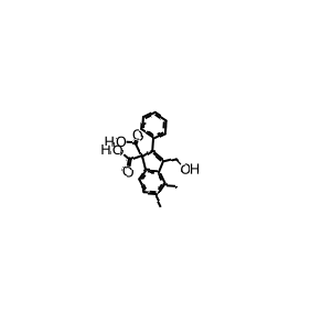 Cc1ccc2c(c1C)C(CO)=C(c1ccccc1)C2(C(=O)O)C(=O)O